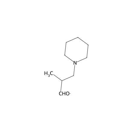 CC([C]=O)CN1CCCCC1